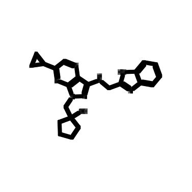 OC1(Cn2nc(NCc3nc4ccccc4[nH]3)c3ncc(C4CC4)nc32)CCCC1